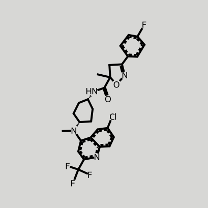 CN(c1cc(C(F)(F)F)nc2ccc(Cl)cc12)[C@H]1CC[C@@H](NC(=O)C2(C)CC(c3ccc(F)cc3)=NO2)CC1